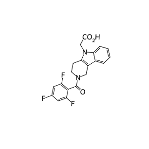 O=C(O)Cn1c2c(c3ccccc31)CN(C(=O)c1c(F)cc(F)cc1F)CC2